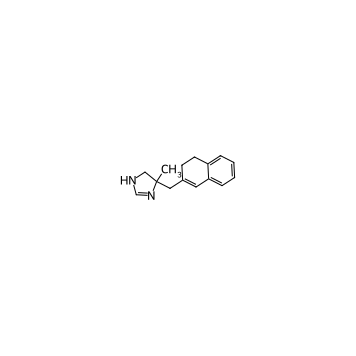 CC1(CC2=Cc3ccccc3CC2)CNC=N1